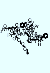 C#CCOCCOCCOCC(=O)N[C@H](C(=O)NC(CCCNC(N)=O)C(=O)Nc1ccc(COC(=O)N(C)[C@H](C(=O)N[C@H](C(=O)N(C)[C@@H](C(C)CC)[C@@H](CC(=O)N2CCC[C@H]2[C@H](OC)[C@@H](C)C(=O)N[C@H](C)[C@@H](O)c2ccccc2)OC)C(C)C)C(C)C)cc1)C(C)C